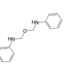 c1ccc(NCOCNc2ccccc2)cc1